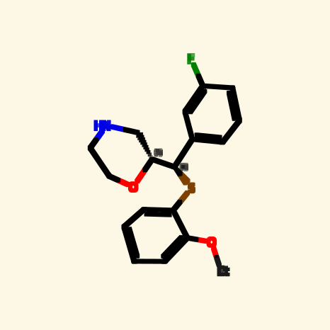 CCOc1ccccc1S[C@H](c1cccc(F)c1)[C@H]1CNCCO1